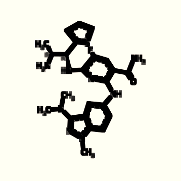 C[C@H](N)[C@H](Nc1nc(Nc2ccc3c(c2)c(N(C)C)nn3C)c(C(N)=O)cc1F)c1cccs1